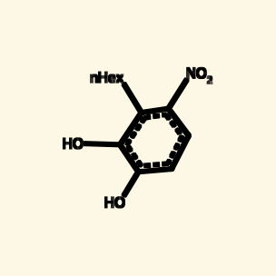 CCCCCCc1c([N+](=O)[O-])ccc(O)c1O